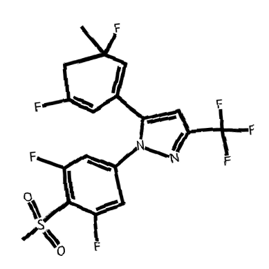 CC1(F)C=C(c2cc(C(F)(F)F)nn2-c2cc(F)c(S(C)(=O)=O)c(F)c2)C=C(F)C1